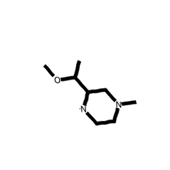 COC(C)C1CN(C)CC[N]1